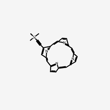 C[Si](C)(C)C#CC1=CC2=CC3=NC(=CC4=NC(=CC5=NC(=CC1=N2)C=C5)C=C4)C=C3